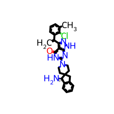 C=C(c1cccc(C)c1Cl)c1n[nH]c2nc(N3CCC4(CC3)Cc3ccccc3[C@H]4N)[nH]c(=O)c12